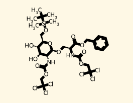 CC(C)(C)[Si](C)(C)OC[C@H]1O[C@@H](OC[C@H](NC(=O)OCC(Cl)(Cl)Cl)C(=O)OCc2ccccc2)[C@H](NC(=O)OCC(Cl)(Cl)Cl)[C@@H](O)[C@@H]1O